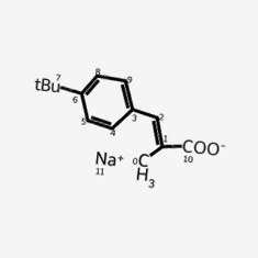 CC(=Cc1ccc(C(C)(C)C)cc1)C(=O)[O-].[Na+]